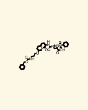 O=C(NCC(NS(=O)(=O)c1ccccc1)C(=O)O)Nc1ccc2ccc(OCCCNC(=O)OCc3ccccc3)cn2c1=O